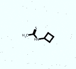 CC(=S)NC1CCC1